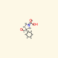 O=CC1(c2ccccc2)CCN(C(=O)O)C1